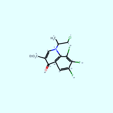 CCOC(=O)c1cn(C(C)CCl)c2c(F)c(F)c(F)cc2c1=O